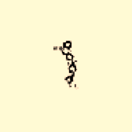 CCCN1CCC2(CCN(C(=O)C3(F)CCN(Cc4ccnc(N)c4)CC3)CC2)Oc2ccccc21